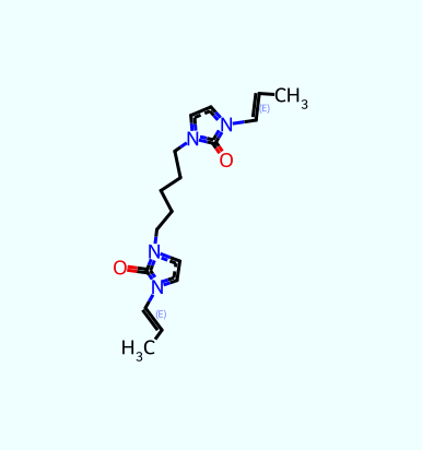 C/C=C/n1ccn(CCCCCn2ccn(/C=C/C)c2=O)c1=O